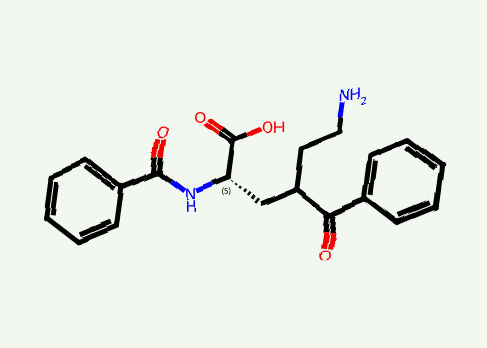 NCCC(C[C@H](NC(=O)c1ccccc1)C(=O)O)C(=O)c1ccccc1